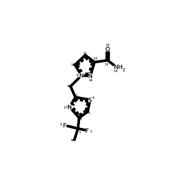 CC(F)(F)c1csc(Cn2ccc(C(N)=O)n2)n1